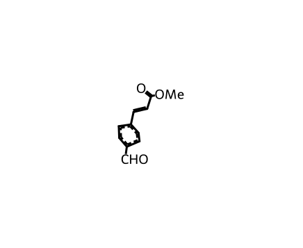 COC(=O)C=Cc1ccc(C=O)cc1